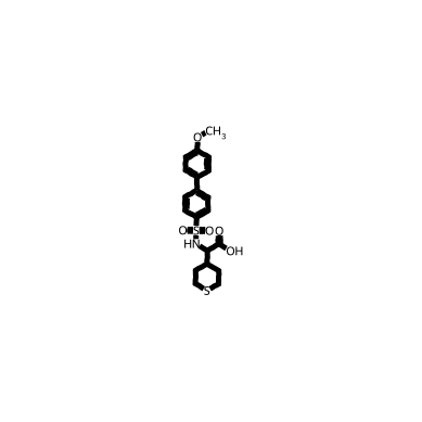 COc1ccc(-c2ccc(S(=O)(=O)NC(C(=O)O)C3CCSCC3)cc2)cc1